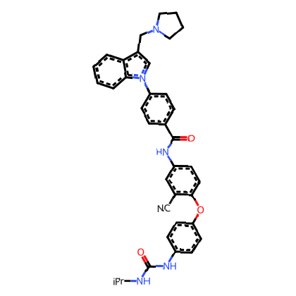 CC(C)NC(=O)Nc1ccc(Oc2ccc(NC(=O)c3ccc(-n4cc(CN5CCCC5)c5ccccc54)cc3)cc2C#N)cc1